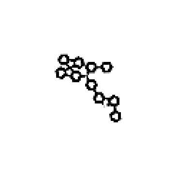 c1ccc(-c2cccc(N(c3ccc(-c4ccc5oc6c(-c7ccccc7)cccc6c5c4)cc3)c3ccc4c(c3)C3(c5ccccc5-c5ccccc53)c3ccccc3-4)c2)cc1